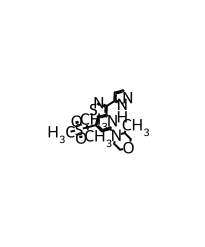 CC1COCCN1c1cc(C(C)(C)S(C)(=O)=O)c2snc(-c3ccn[nH]3)c2n1